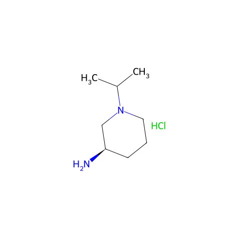 CC(C)N1CCC[C@@H](N)C1.Cl